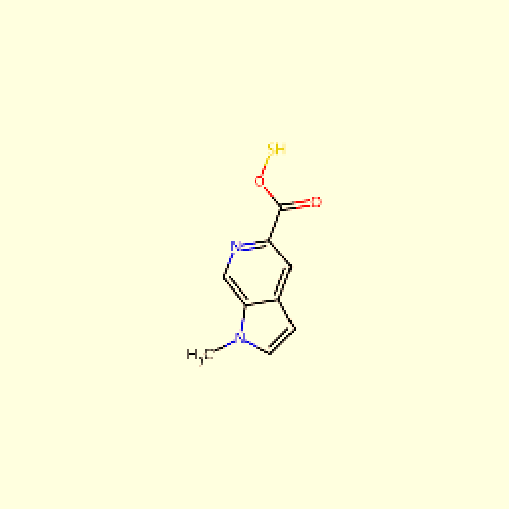 Cn1ccc2cc(C(=O)OS)ncc21